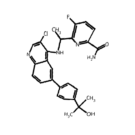 CC(Nc1c(Cl)cnc2ccc(-c3ccc(C(C)(C)O)cc3)cc12)c1nc(C(N)=O)ccc1F